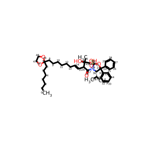 CCCCCCCC1(CCCCCC/C=C/C(C(=O)N2C(=S)OC(c3ccccc3)(c3ccccc3)[C@@H]2C(C)C)C(C)(O)C(=O)O)OCCO1